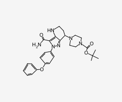 CC(C)(C)OC(=O)N1CCN(C2CCNc3c2nn(-c2ccc(Oc4ccccc4)cc2)c3C(N)=O)CC1